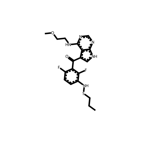 CCCSNc1ccc(F)c(C(=O)c2c[nH]c3ncnc(NCCOC)c23)c1F